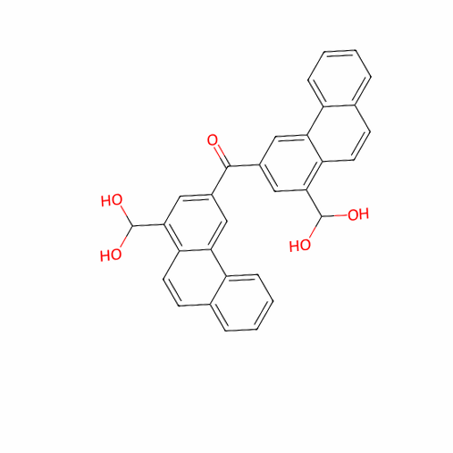 O=C(c1cc(C(O)O)c2ccc3ccccc3c2c1)c1cc(C(O)O)c2ccc3ccccc3c2c1